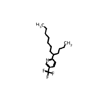 CCCCCCCC(CCCC)c1ccc(C(F)(F)F)cn1